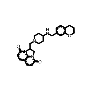 O=c1ccc2ccc(=O)n3c2n1CC3CN1CCC(NCc2ccc3c(c2)OCCC3)CC1